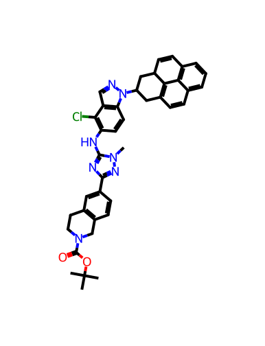 Cn1nc(-c2ccc3c(c2)CCN(C(=O)OC(C)(C)C)C3)nc1Nc1ccc2c(cnn2C2Cc3ccc4cccc5c4c3C(C=C5)C2)c1Cl